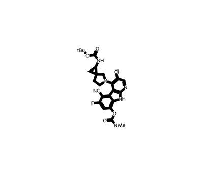 CNC(=O)Oc1cc(F)c(C#N)c2c1[nH]c1ncc(Cl)c(N3CCC4(CC4NC(=O)OC(C)(C)C)C3)c12